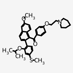 COc1ccc2c(C(=O)c3ccc(OCCN4CCCCC4)cc3)c(-c3ccc(SC)cc3OC(C)C)ccc2c1